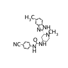 Cc1ccc2[nH]c([C@H]3C[C@H](NC(=O)Nc4ccc(C#N)cc4)CCN3C)nc2c1